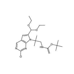 C=C(NCC(C)(C)n1c(C(OCC)OCC)cc2cnc(Cl)nc21)OC(C)(C)C